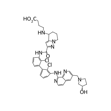 O=C(O)CCCNC1CCCn2nc(C(=O)Nc3cccc(-c4cccc(Nc5nccc6cc(CN7CC[C@@H](O)C7)cnc56)c4Cl)c3Cl)cc21